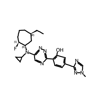 CC[C@@H]1CCC[C@H](F)[C@H](N(c2cnc(-c3ccc(-c4ncn(C)n4)cc3O)nn2)C2CC2)C1